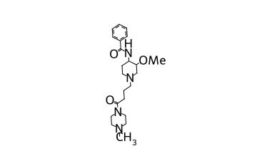 COC1CN(CCCC(=O)N2CCN(C)CC2)CCC1NC(=O)c1ccccc1